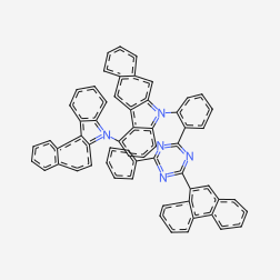 c1ccc(-c2nc(-c3ccccc3-n3c4cc5ccccc5cc4c4c(-n5c6ccccc6c6c7ccccc7ccc65)cccc43)nc(-c3cc4ccccc4c4ccccc34)n2)cc1